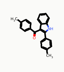 Cc1ccc(C(=O)c2c(-c3ccc(C)cc3)[nH]c3ccccc23)cc1